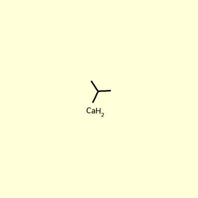 CC(C)C.[CaH2]